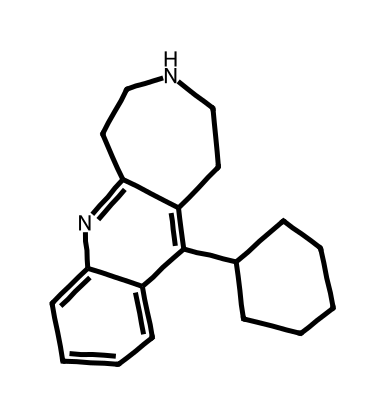 c1ccc2c(C3CCCCC3)c3c(nc2c1)CCNCC3